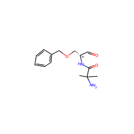 CC(C)(N)C(=O)N[C@@H](C=O)COCc1ccccc1